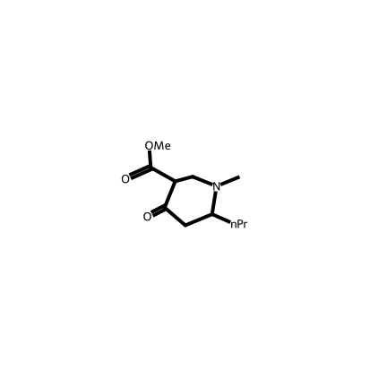 CCCC1CC(=O)C(C(=O)OC)CN1C